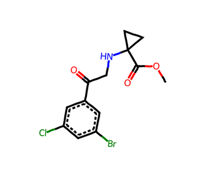 COC(=O)C1(NCC(=O)c2cc(Cl)cc(Br)c2)CC1